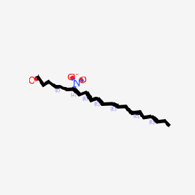 CC/C=C/C/C=C/C/C=C/C=C/C=C/C=C(/C/C=C/CC[C]=O)[N+](=O)[O-]